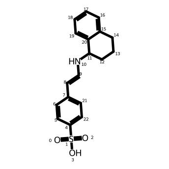 O=S(=O)(O)c1ccc(C=CN[C]2CCCc3ccccc32)cc1